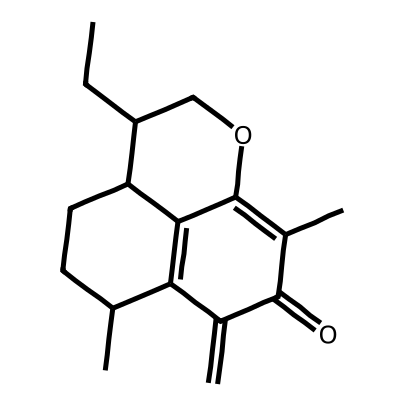 C=C1C(=O)C(C)=C2OCC(CC)C3CCC(C)C1=C23